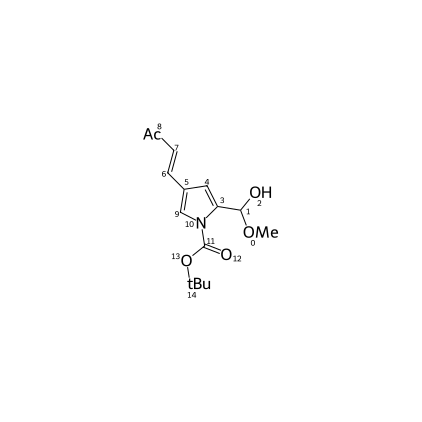 COC(O)c1cc(/C=C/C(C)=O)cn1C(=O)OC(C)(C)C